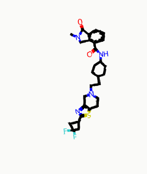 CN1Cc2c(C(=O)NC3CCC(CCN4CCc5sc(C6CC(F)(F)C6)nc5C4)CC3)cccc2C1=O